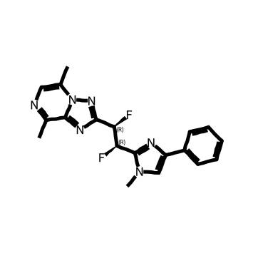 Cc1ncc(C)n2nc([C@@H](F)[C@H](F)c3nc(-c4ccccc4)cn3C)nc12